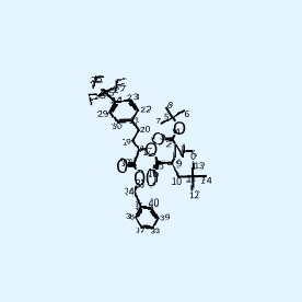 CN(C(=O)OC(C)(C)C)[C@@H](CC(C)(C)C)C(=O)O[C@H](CCc1ccc(C(F)(F)F)cc1)C(=O)OCc1ccccc1